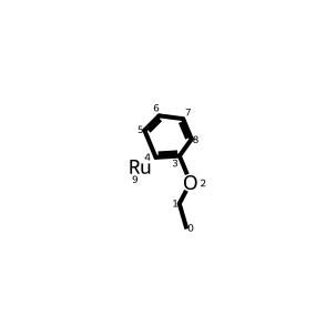 CCOc1ccccc1.[Ru]